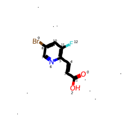 O=C(O)C=Cc1ncc(Br)cc1F